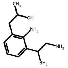 BC(CN)c1cccc(CC(C)O)c1N